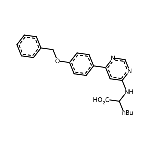 CCCCC(Nc1cc(-c2ccc(OCc3ccccc3)cc2)ncn1)C(=O)O